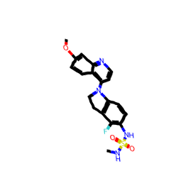 CNS(=O)(=O)Nc1ccc2c(c1F)CCN2c1ccnc2cc(OC)ccc12